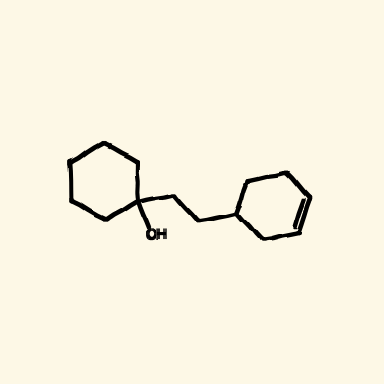 OC1(CCC2CC=CCC2)CCCCC1